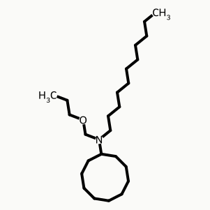 CCCCCCCCCCCN(COCCC)C1CCCCCCCCC1